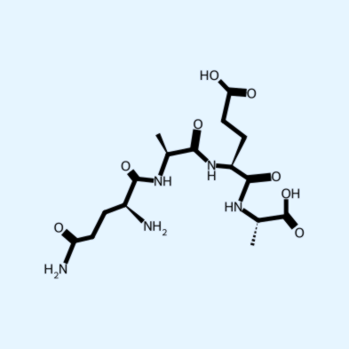 C[C@H](NC(=O)[C@H](CCC(=O)O)NC(=O)[C@H](C)NC(=O)[C@@H](N)CCC(N)=O)C(=O)O